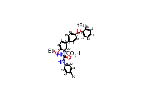 CCOC1=CC=C(c2ccc(Oc3ccccc3C(C)(C)C)cc2)CC1(NC(=O)Nc1ccc(C)cc1)C(=O)O